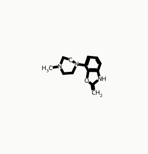 C=C1Nc2cccc(N3CCN(C)CC3)c2O1